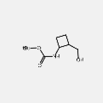 CC(C)(C)OC(=O)NC1CCC1CO